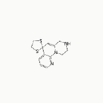 C1=C2CNCCN2c2ncccc2C12SCCS2